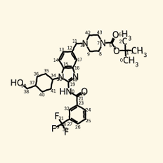 CC(C)(C)OC(=O)N1CCN(Cc2ccc3c(c2)nc(NC(=O)c2cccc(C(F)(F)F)c2)n3C2CCC(CO)CC2)CC1